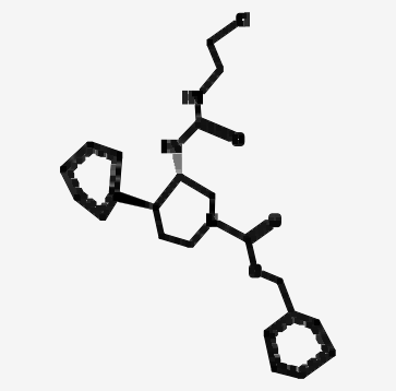 O=C(NCCCl)N[C@@H]1CN(C(=O)OCc2ccccc2)CC[C@H]1c1ccccc1